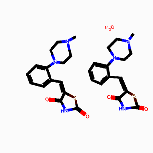 CN1CCN(c2ccccc2/C=C2/SC(=O)NC2=O)CC1.CN1CCN(c2ccccc2/C=C2/SC(=O)NC2=O)CC1.O